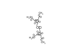 CCOC(=O)CCNC(=O)N(CCC1CCC2C1C1CCC2(CCN(C(=O)NCCC(=O)OCC)C(=O)OCCC(=O)OC)C1)C(=O)OCCC(=O)OC